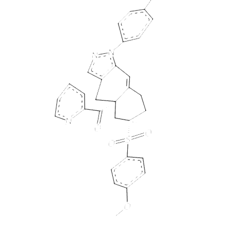 COc1ccc(S(=O)(=O)[C@H]2CCC3=Cc4c(cnn4-c4ccc(F)cc4)C[C@]3(C(=O)c3ccccn3)C2)cc1